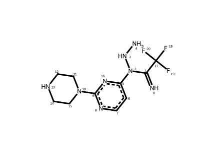 N=C(N(NN)c1ccnc(N2CCNCC2)n1)C(F)(F)F